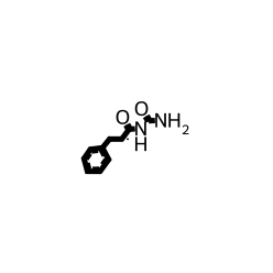 NC(=O)NC(=O)[CH]Cc1ccccc1